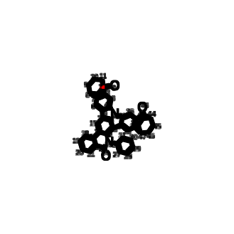 O=C1c2cc3c(cc2C2CCC1CC2)c1cc2c4ccccc4c(=O)n(-c4ccccc4)c2c2c4cc5c(cc4n3c12)C(=O)C1CCC5CC1